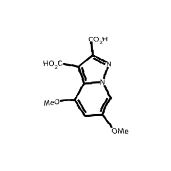 COc1cc(OC)c2c(C(=O)O)c(C(=O)O)nn2c1